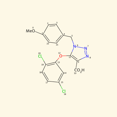 COc1ccc(Cn2nnc(C(=O)O)c2Oc2cc(Cl)ccc2Cl)cc1